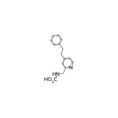 O=C(O)NCc1cc(CCc2ccccc2)ccn1